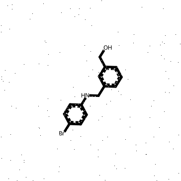 OCc1cccc(CNc2ccc(Br)cc2)c1